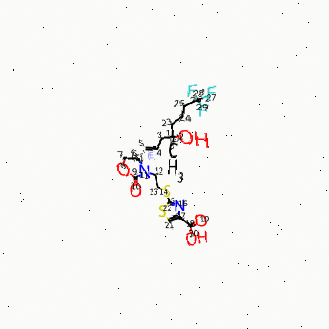 C[C@@](O)(C/C=C/[C@H]1COC(=O)N1CCSc1nc(C(=O)O)cs1)CCCC(F)(F)F